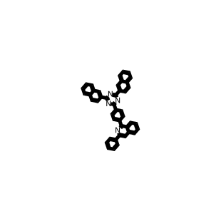 c1ccc(-c2cc3ccccc3c(-c3ccc(-c4nc(-c5ccc6ccccc6c5)nc(-c5ccc6ccccc6c5)n4)cc3)n2)cc1